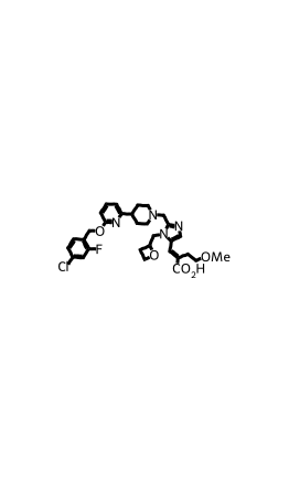 COCC/C(=C\c1cnc(CN2CCC(c3cccc(OCc4ccc(Cl)cc4F)n3)CC2)n1CC1CCO1)C(=O)O